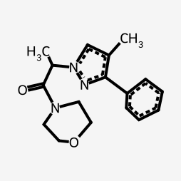 Cc1cn(C(C)C(=O)N2CCOCC2)nc1-c1ccccc1